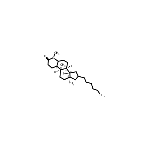 CCCCCCC1C[C@H]2[C@@H]3CCC4N(C)C(=O)CC[C@]4(C)[C@@H]3CC[C@]2(C)C1